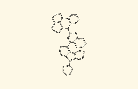 c1ccc(-n2c3ccccc3c3c(-c4nc(N5c6ccccc6-c6cccc7cccc5c67)nc5ccccc45)cccc32)cc1